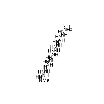 CNNNNNNNNNNNNNNNNNNNNNN